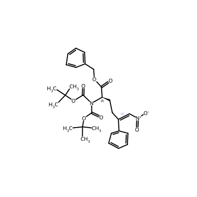 CC(C)(C)OC(=O)N(C(=O)OC(C)(C)C)[C@H](CC/C(=C/[N+](=O)[O-])c1ccccc1)C(=O)OCc1ccccc1